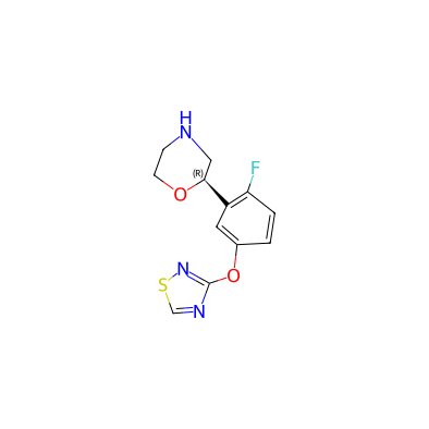 Fc1ccc(Oc2ncsn2)cc1[C@@H]1CNCCO1